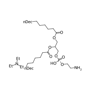 CCCCCCCCCCCCCCCC(=O)OCC(COP(=O)(O)OCCN)OC(=O)CCCCCCCCCCCCCCC.CCN(CC)CC